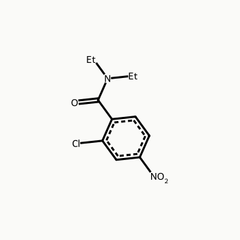 CCN(CC)C(=O)c1ccc([N+](=O)[O-])cc1Cl